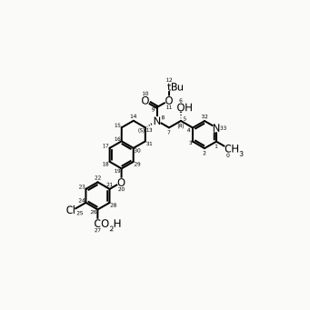 Cc1ccc([C@@H](O)CN(C(=O)OC(C)(C)C)[C@H]2CCc3ccc(Oc4ccc(Cl)c(C(=O)O)c4)cc3C2)cn1